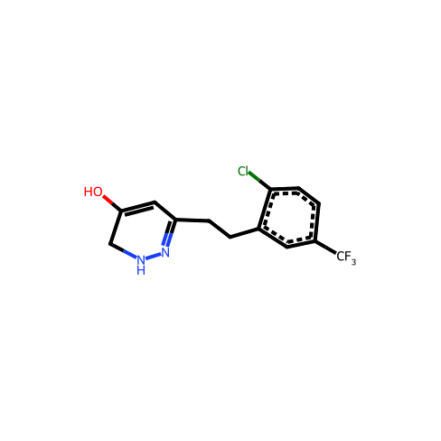 OC1=CC(CCc2cc(C(F)(F)F)ccc2Cl)=NNC1